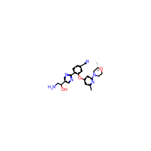 Cc1cc(Oc2cc(C#N)ccc2-c2ncc(C(O)CN)cn2)cc(N2CCO[C@@H](C)C2)n1